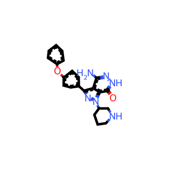 Nc1n[nH]c(=O)c2c1c(-c1ccc(Oc3ccccc3)cc1)nn2C1CCCNC1